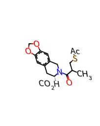 CC(=O)SCC(C)C(=O)N1Cc2cc3c(cc2C[C@H]1C(=O)O)OCO3